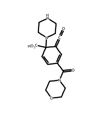 O=C=C1C=C(C(=O)N2CCOCC2)C=CC1(C(=O)O)N1CCNCC1